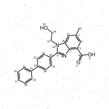 Cc1cc(C(=O)O)c2nc(-c3ccc(-c4ccccc4)cc3)n(CCO)c2c1